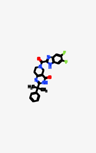 CC(C)(c1ccccc1)c1nc2c(c(=O)[nH]1)CN(C(=O)c1nc3cc(F)c(F)cc3[nH]1)CC2